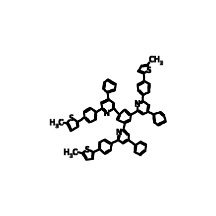 Cc1ccc(-c2ccc(-c3cc(-c4ccccc4)cc(-c4cc(-c5cc(-c6ccccc6)cc(-c6ccc(-c7ccc(C)s7)cc6)n5)cc(-c5cc(-c6ccccc6)cc(-c6ccc(-c7ccc(C)s7)cc6)n5)c4)n3)cc2)s1